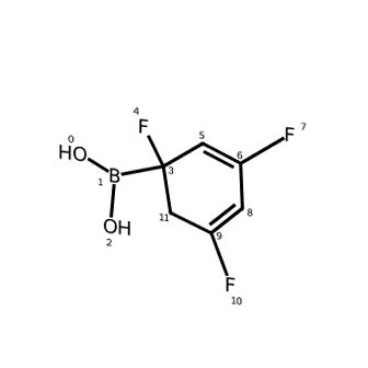 OB(O)C1(F)C=C(F)C=C(F)C1